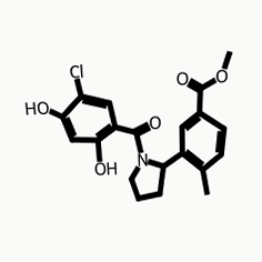 COC(=O)c1ccc(C)c(C2CCCN2C(=O)c2cc(Cl)c(O)cc2O)c1